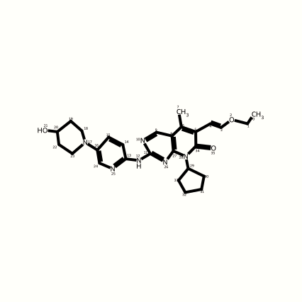 CCOC=Cc1c(C)c2cnc(Nc3ccc(N4CCC(O)CC4)cn3)nc2n(C2CCCC2)c1=O